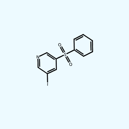 O=S(=O)(c1ccccc1)c1cncc(I)c1